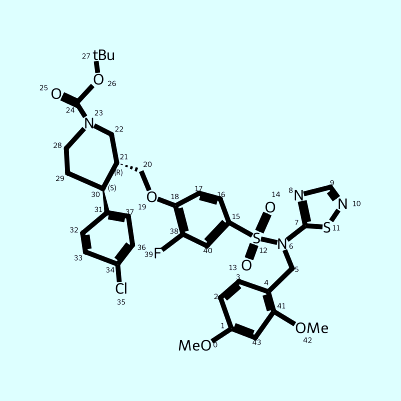 COc1ccc(CN(c2ncns2)S(=O)(=O)c2ccc(OC[C@H]3CN(C(=O)OC(C)(C)C)CC[C@@H]3c3ccc(Cl)cc3)c(F)c2)c(OC)c1